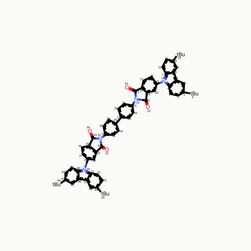 CC(C)(C)c1ccc2c(c1)c1cc(C(C)(C)C)ccc1n2-c1ccc2c(c1)C(=O)N(c1ccc(-c3ccc(N4C(=O)c5ccc(-n6c7ccc(C(C)(C)C)cc7c7cc(C(C)(C)C)ccc76)cc5C4=O)cc3)cc1)C2=O